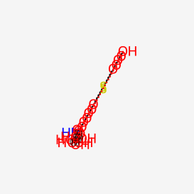 CC(=O)NC1[C@H](OCCOCCOCCOCCOCCOCCOCCCCCCCCCCSSCCCCCCCCCCCOCCOCCOCCOCCO)OC(CO)[C@@H](O[C@@H]2OC(CO)[C@H](O)[C@H](O)C2O)[C@@H]1O